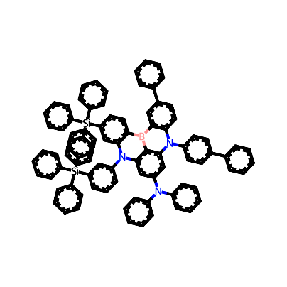 c1ccc(-c2ccc(N3c4ccc(-c5ccccc5)cc4B4c5ccc([Si](c6ccccc6)(c6ccccc6)c6ccccc6)cc5N(c5cccc([Si](c6ccccc6)(c6ccccc6)c6ccccc6)c5)c5cc(N(c6ccccc6)c6ccccc6)cc3c54)cc2)cc1